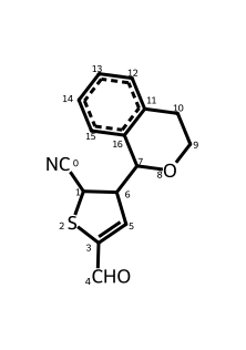 N#CC1SC(C=O)=CC1C1OCCc2ccccc21